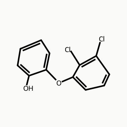 Oc1ccccc1Oc1cccc(Cl)c1Cl